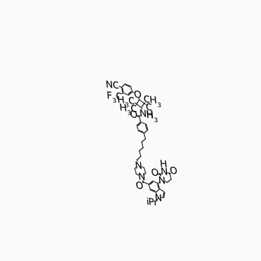 CC(C)n1ccc2c(N3CCC(=O)NC3=O)cc(C(=O)N3CCN(CCCCCCc4ccc(C(=O)NC5C(C)(C)C(Oc6ccc(C#N)c(C(F)(F)F)c6)C5(C)C)cc4)CC3)cc21